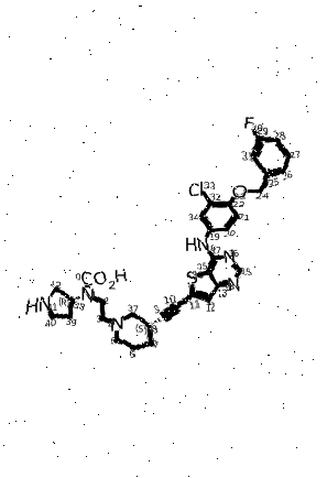 O=C(O)N(CCN1CCC[C@@H](C#Cc2cc3ncnc(Nc4ccc(OCc5cccc(F)c5)c(Cl)c4)c3s2)C1)[C@@H]1CCNC1